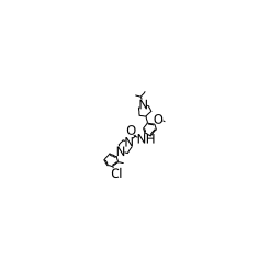 COc1ccc(NC(=O)N2CCN(c3cccc(Cl)c3C)CC2)cc1C1CCN(C(C)C)CC1